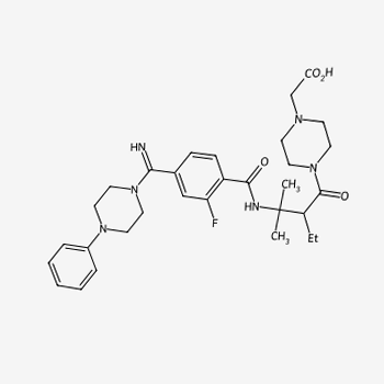 CCC(C(=O)N1CCN(CC(=O)O)CC1)C(C)(C)NC(=O)c1ccc(C(=N)N2CCN(c3ccccc3)CC2)cc1F